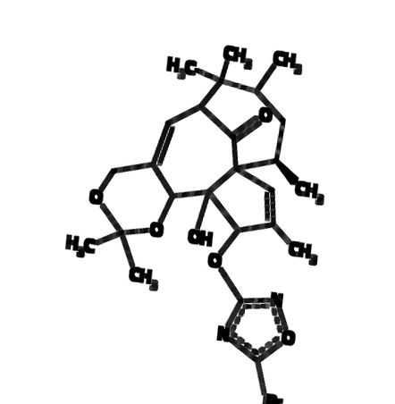 CC1=CC23C(=O)C(C=C4COC(C)(C)OC4C2(O)C1Oc1noc(C(C)C)n1)C(C)(C)C(C)C[C@H]3C